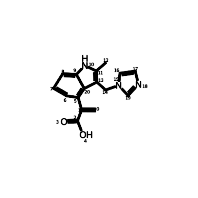 C=C(C(=O)O)c1cccc2[nH]c(C)c(Cn3ccnc3)c12